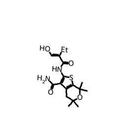 CCC(=CO)C(=O)Nc1sc2c(c1C(N)=O)CC(C)(C)OC2(C)C